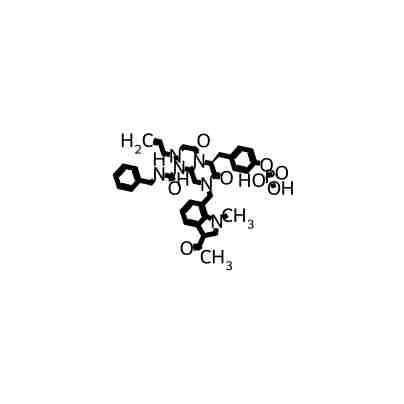 C=CCN1CC(=O)N2[C@@H](Cc3ccc(OP(=O)(O)O)cc3)C(=O)N(Cc3cccc4c3N(C)CC4C(C)=O)C[C@@H]2N1C(=O)NCc1ccccc1